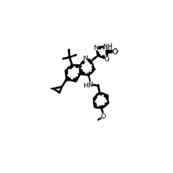 COc1ccc(CNc2cc(-c3n[nH]c(=O)o3)nc3c(C(C)(C)C)cc(C4CC4)cc23)cc1